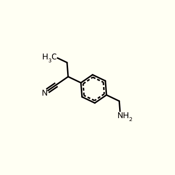 CCC(C#N)c1ccc(CN)cc1